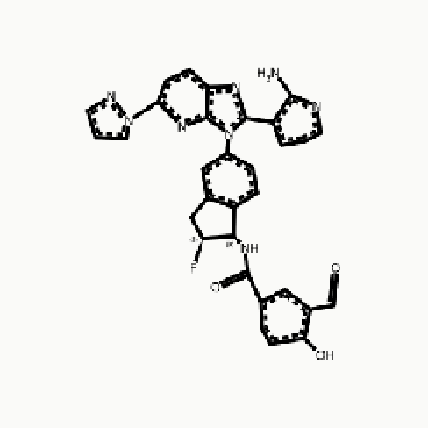 Nc1ncccc1-c1nc2ccc(-n3cccn3)nc2n1-c1ccc2c(c1)C[C@H](F)[C@@H]2NC(=O)c1ccc(O)c(C=O)c1